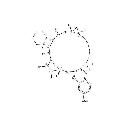 COc1ccc2nc3c(nc2c1)O[C@H]1CN(C(=O)[C@H](C2(C)CCCCC2)NC(=O)O[C@@H]2C[C@H]2CCCCC3(F)F)[C@H](C(C)=O)[C@@H]1C